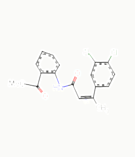 COC(=O)c1ccccc1NC(=O)/C=C(/C)c1ccc(Cl)c(Cl)c1